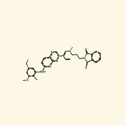 C=C/C(=C\N(C)CCCN1C(=O)c2ccccc2C1=O)c1cnc2ccc(Nc3cc(CC)cc(OC)c3C)nc2n1